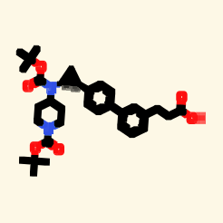 CC(C)(C)OC(=O)N1CCC(N(C(=O)OC(C)(C)C)[C@@H]2C[C@H]2c2ccc(-c3cccc(CCC(=O)O)c3)cc2)CC1